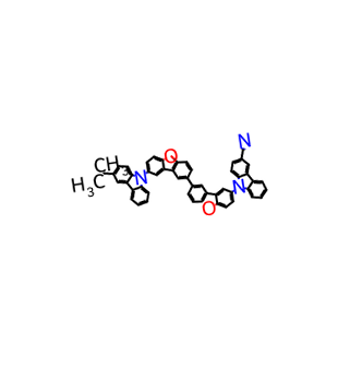 CC(C)c1ccc2c(c1)c1ccccc1n2-c1ccc2oc3ccc(-c4ccc5oc6ccc(-n7c8ccccc8c8cc(C#N)ccc87)cc6c5c4)cc3c2c1